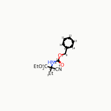 CCOC(=O)C(C#N)(CC)NC(=O)OCc1ccccc1